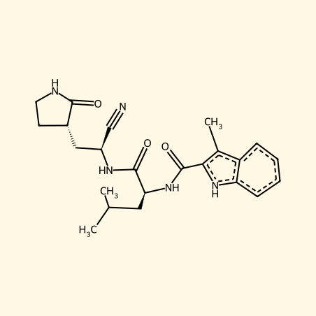 Cc1c(C(=O)N[C@@H](CC(C)C)C(=O)N[C@H](C#N)C[C@@H]2CCNC2=O)[nH]c2ccccc12